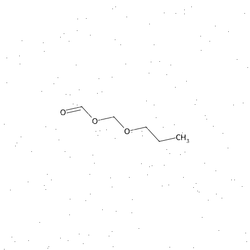 CCCOCOC=O